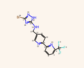 FC(F)(F)c1cccc(-c2ccc(CNc3nc(Br)n[nH]3)cn2)n1